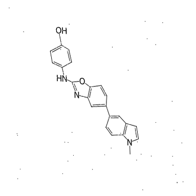 Cn1ccc2cc(-c3ccc4oc(Nc5ccc(O)cc5)nc4c3)ccc21